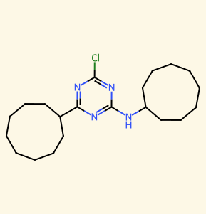 Clc1nc(NC2CCCCCCCC2)nc(C2CCCCCCCC2)n1